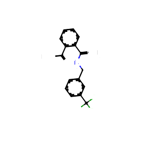 C=C(C)c1ccccc1C(=C)NCc1cccc(C(F)(F)F)c1